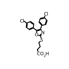 O=C(O)CCCSc1nc(-c2ccc(Cl)cc2)c(-c2ccc(Cl)cc2)o1